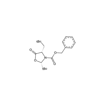 CC(C)(C)C[C@H]1C(=O)O[C@@H](C(C)(C)C)N1C(=O)OCc1ccccc1